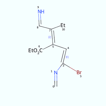 C=N/C(Br)=C\C(C(=O)OCC)=C(\C=N)CC